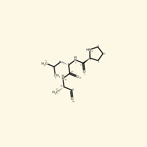 CC(C)C[C@H](NC(=O)[C@@H]1CCCN1)C(=O)N[C@@H](C)[C]=O